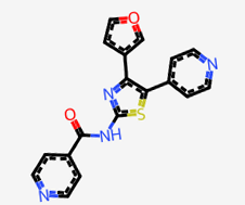 O=C(Nc1nc(-c2ccoc2)c(-c2ccncc2)s1)c1ccncc1